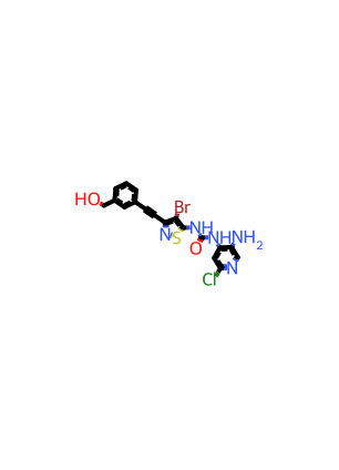 Nc1cnc(Cl)cc1NC(=O)Nc1snc(C#Cc2cccc(CO)c2)c1Br